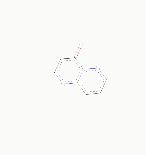 O=c1ccnc2cccnn12